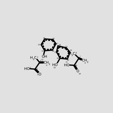 C=C(C)C(=O)O.C=C(C)C(=O)O.Oc1ccccc1.Oc1ccccc1